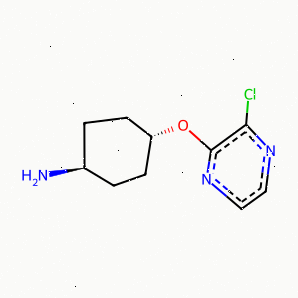 N[C@H]1CC[C@H](Oc2nccnc2Cl)CC1